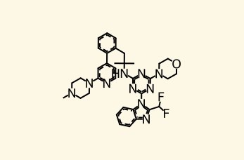 CN1CCN(c2cc(-c3ccccc3CC(C)(C)Nc3nc(N4CCOCC4)nc(-n4c(C(F)F)nc5ccccc54)n3)ccn2)CC1